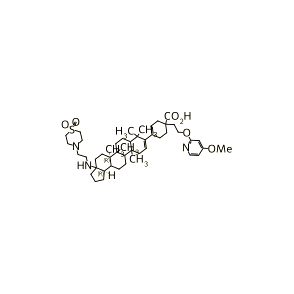 COc1ccnc(OCCC2(C(=O)O)CC=C(C3=CCC4(C)C(CCC5(C)C4CCC4[C@H]6CCCC6(NCCN6CCS(=O)(=O)CC6)CC[C@]45C)C3(C)C)CC2)c1